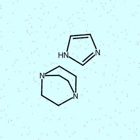 C1CN2CCN1CC2.c1c[nH]cn1